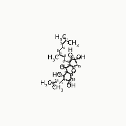 CC(C)=CCC/C(C)=C/Cc1c(O)c(O)cc2oc3cc(O)c(CC=C(C)C)c(O)c3c(=O)c12